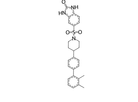 Cc1cccc(-c2ccc(C3CCN(S(=O)(=O)c4ccc5[nH]c(=O)[nH]c5c4)CC3)cc2)c1C